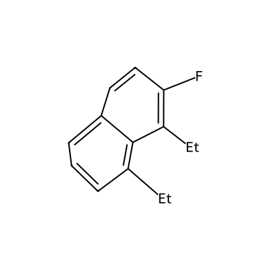 CCc1cccc2ccc(F)c(CC)c12